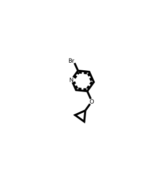 Brc1ccc(OC2CC2)cn1